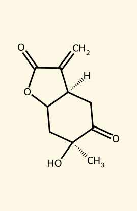 C=C1C(=O)OC2C[C@](C)(O)C(=O)C[C@H]12